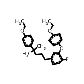 CCOc1ccc(Oc2cc(CCCC(C)(C)c3ccc(OCC)cc3)ccc2F)cc1